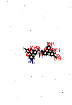 C=c1ccc2c(c1)Oc1cc(N(C)C)ccc1C=2c1ccc(C(=O)NCc2c3oc4cc(O)ccc4c(-c4ccc(C(=O)O)cc4C(=O)O)c-3ccc2=O)cc1C(=O)O